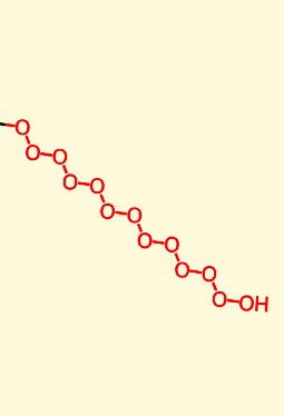 COOOOOOOOOOOOO